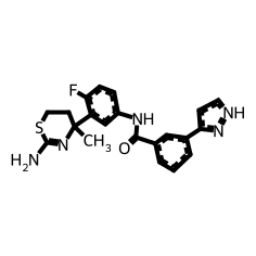 CC1(c2cc(NC(=O)c3cccc(-c4cc[nH]n4)c3)ccc2F)CCSC(N)=N1